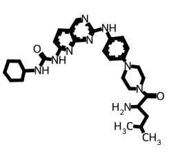 CC(C)CC(N)C(=O)N1CCN(c2ccc(Nc3ncc4ccc(NC(=O)NC5CCCCC5)nc4n3)cc2)CC1